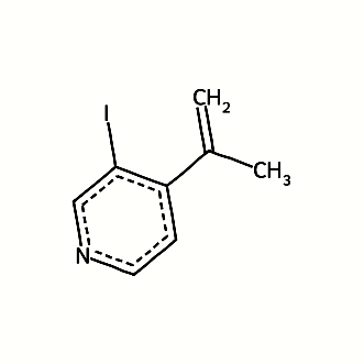 C=C(C)c1ccncc1I